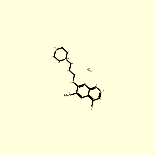 COc1cc2c(Cl)cnnc2cc1OCCCN1CCOCC1.Cl